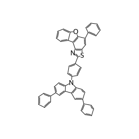 c1ccc(-c2ccc3c(c2)c2cc(-c4ccccc4)ccc2n3-c2ccc(-c3nc4c(cc(-c5ccccc5)c5oc6ccccc6c54)s3)cc2)cc1